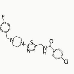 O=C(NCc1cnc(N2CCN(Cc3ccc(F)cc3)CC2)s1)c1ccc(Cl)cc1